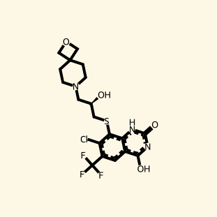 O=c1nc(O)c2cc(C(F)(F)F)c(Cl)c(SC[C@H](O)CN3CCC4(CC3)COC4)c2[nH]1